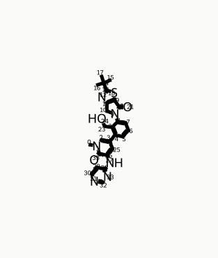 Cn1cc(-c2cccc(N3Cc4nc(C(C)(C)C)sc4C3=O)c2CO)cc(Nc2ccncn2)c1=O